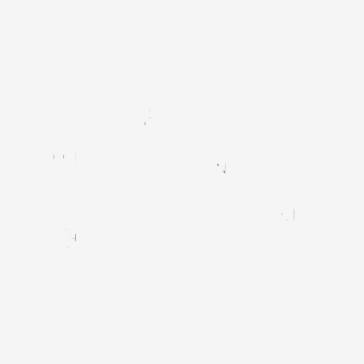 Cc1ccc([C@H](Br)C=O)c(Cl)n1